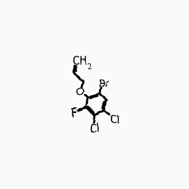 C=CCOc1c(Br)cc(Cl)c(Cl)c1F